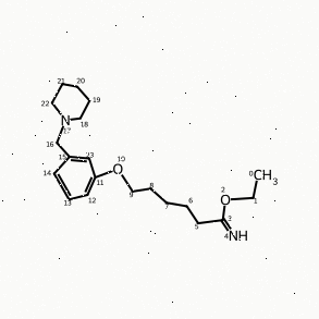 CCOC(=N)CCCCCOc1cccc(CN2CCCCC2)c1